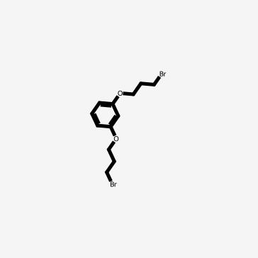 BrCCCOc1cccc(OCCCBr)c1